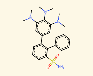 CN(C)c1cc(-c2cccc(S(N)(=O)=O)c2-c2ccccc2)cc(N(C)C)c1N(C)C